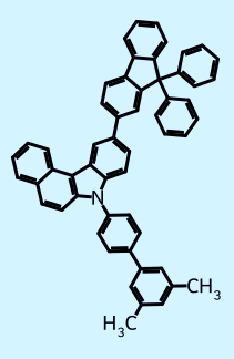 Cc1cc(C)cc(-c2ccc(-n3c4ccc(-c5ccc6c(c5)C(c5ccccc5)(c5ccccc5)c5ccccc5-6)cc4c4c5ccccc5ccc43)cc2)c1